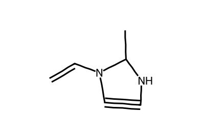 C=CN1C#CNC1C